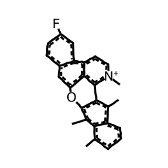 Cc1c2c(c(C)c3c(C)cccc13)Oc1cc3ccc(F)cc3c3cc[n+](C)c-2c13